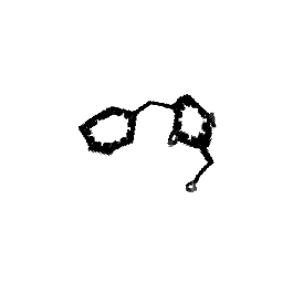 ClCc1ncc(Cc2ccccc2)o1